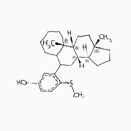 CSc1ccc(O)cc1C1C[C@@H]2[C@@H](CC[C@]3(C)CCC[C@@H]23)[C@@]2(C)CCCCC12